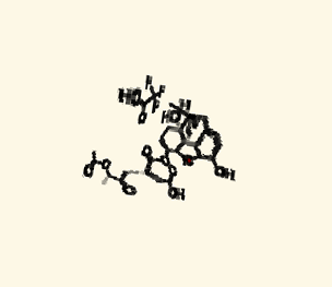 CC(=O)O[C@@H](C)C(=O)C[C@@H](CC(=O)O)C(=O)OC1=CC[C@@]2(O)[C@H]3Cc4ccc(O)c5c4[C@@]2(CCN3C)[C@H]1O5.O=C(O)C(F)(F)F